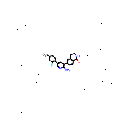 Nc1ncc(-c2ccc([N+](=O)[O-])cc2F)cc1-c1ccc2c(c1)CCNC2=O